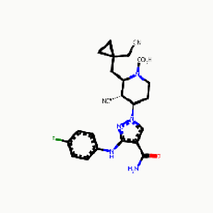 N#CCC1(CC2[C@@H](C#N)[C@H](n3cc(C(N)=O)c(Nc4ccc(F)cc4)n3)CCN2C(=O)O)CC1